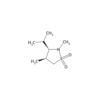 CC(C)[C@@H]1[C@H](C)CS(=O)(=O)N1C